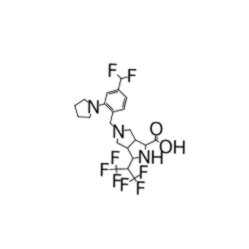 O=C(O)C1NC(C(C(F)(F)F)C(F)(F)F)C2CN(Cc3ccc(C(F)F)cc3N3CCCC3)CC12